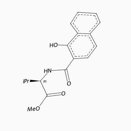 COC(=O)[C@H](NC(=O)c1ccc2ccccc2c1O)C(C)C